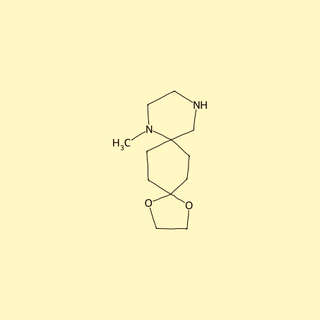 CN1CCNCC12CCC1(CC2)OCCO1